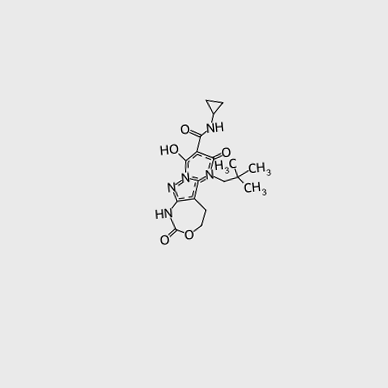 CC(C)(C)Cn1c(=O)c(C(=O)NC2CC2)c(O)n2nc3c(c12)CCOC(=O)N3